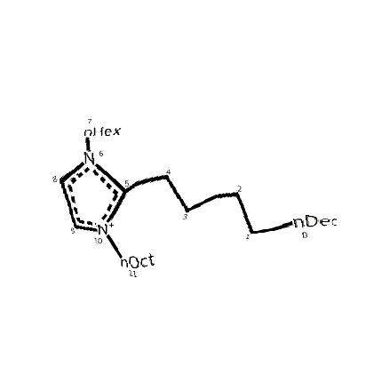 CCCCCCCCCCCCCCc1n(CCCCCC)cc[n+]1CCCCCCCC